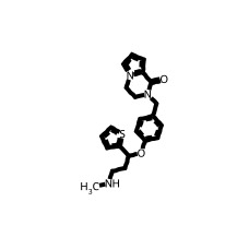 CNCCC(Oc1ccc(CN2CCn3cccc3C2=O)cc1)c1cccs1